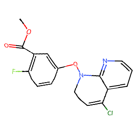 COC(=O)c1cc(ON2CC=C(Cl)c3cccnc32)ccc1F